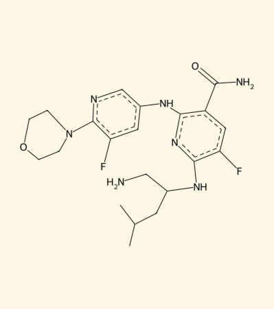 CC(C)CC(CN)Nc1nc(Nc2cnc(N3CCOCC3)c(F)c2)c(C(N)=O)cc1F